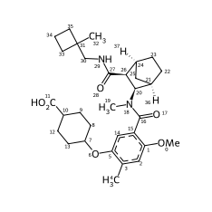 COc1cc(C)c(OC2CCC(C(=O)O)CC2)cc1C(=O)N(C)[C@@H]1[C@@H]2CC[C@@H](C2)[C@@H]1C(=O)NCC1(C)CCC1